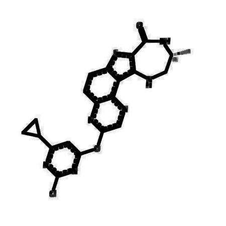 C[C@@H]1CNc2c(sc3ccc4nc(Oc5cc(C6CC6)nc(Cl)n5)cnc4c23)C(=O)N1